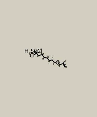 C=C(C)COCCCCCCCC([SiH3])(Cl)Cl